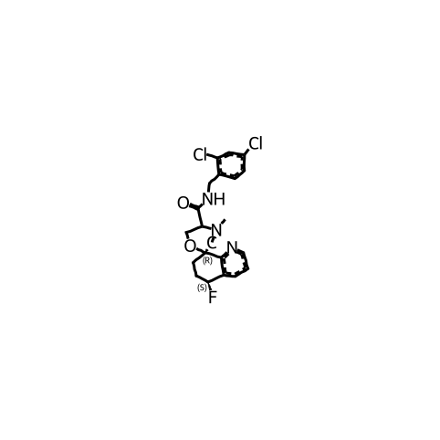 CN1C[C@@]2(CC[C@H](F)c3cccnc32)OCC1C(=O)NCc1ccc(Cl)cc1Cl